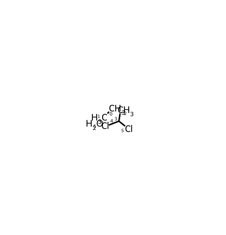 CC.CC(Cl)Cl.O